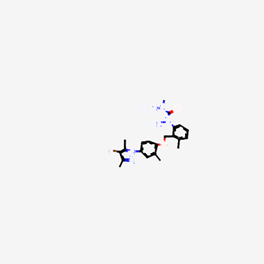 Cc1cc(-n2nc(C)c(Br)c2C)ccc1OCc1c(C)cccc1N(N)C(=O)N(C)N